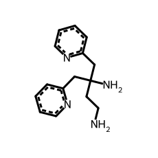 NCCC(N)(Cc1ccccn1)Cc1ccccn1